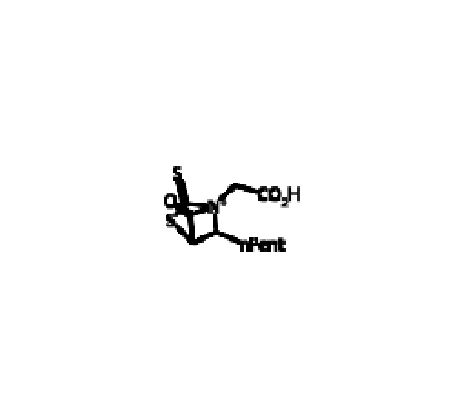 CCCCCC1C2SC(=S)[N+]1(CC(=O)O)C2=O